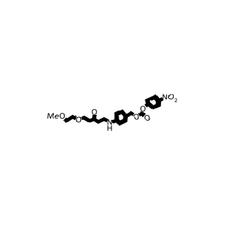 COCCOCCC(=O)CCNc1ccc(COC(=O)Oc2ccc([N+](=O)[O-])cc2)cc1